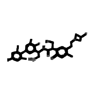 Cc1cc(=O)n(C(CC(C)C)C(=O)NC(CC(=O)O)c2cc(-c3c(C)cc(F)cc3C)cc(C)c2F)cc1CCN1CC(F)C1